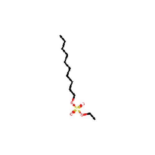 CCCCCCCCCCOS(=O)(=O)OCC